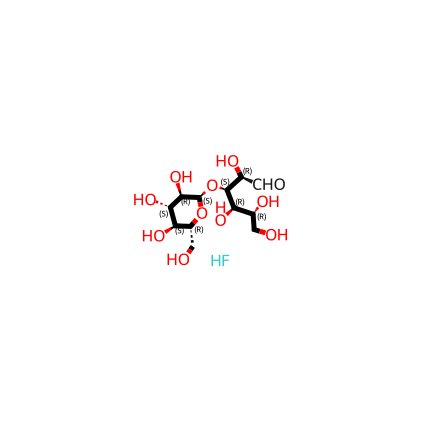 F.O=C[C@H](O)[C@@H](O[C@@H]1O[C@H](CO)[C@@H](O)[C@H](O)[C@H]1O)[C@H](O)[C@H](O)CO